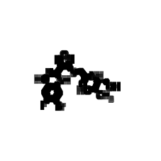 C[C@@H](O)[C@@H](CO)NC(=O)CSc1nonc1/C(=N/O)Nc1ccc(F)c(Br)c1